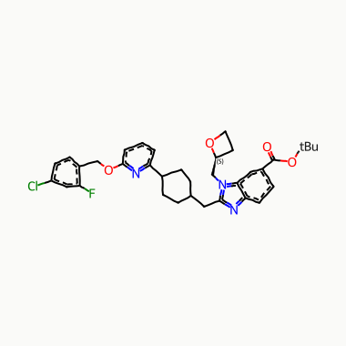 CC(C)(C)OC(=O)c1ccc2nc(CC3CCC(c4cccc(OCc5ccc(Cl)cc5F)n4)CC3)n(C[C@@H]3CCO3)c2c1